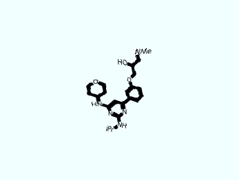 CNCC(O)COc1cccc(-c2cc(NC3CCOCC3)nc(NC(C)C)n2)c1